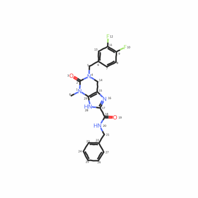 CN1C(=O)N(Cc2ccc(F)c(F)c2)Cc2nc(C(=O)NCc3ccccc3)[nH]c21